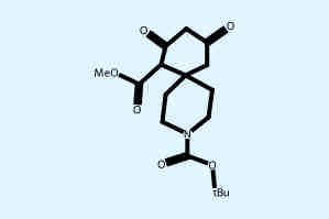 COC(=O)C1C(=O)CC(=O)CC12CCN(C(=O)OC(C)(C)C)CC2